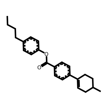 CCCCc1ccc(OC(=O)c2ccc(C3=CCC(C)CC3)cc2)cc1